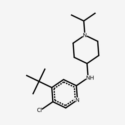 CC(C)N1CCC(Nc2cc(C(C)(C)C)c(Cl)cn2)CC1